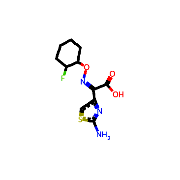 Nc1nc(C(=NOC2CCCCC2F)C(=O)O)cs1